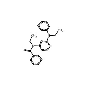 CCN(C(=O)c1ccccc1)c1ccnc(N(CC)c2ccccc2)c1